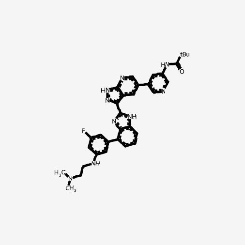 CN(C)CCNc1cc(F)cc(-c2cccc3[nH]c(-c4n[nH]c5ncc(-c6cncc(NC(=O)C(C)(C)C)c6)cc45)nc23)c1